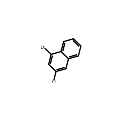 [CH2]Cc1cc(Cl)cc2ccccc12